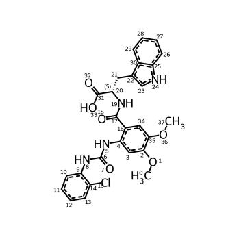 COc1cc(NC(=O)Nc2ccccc2Cl)c(C(=O)N[C@@H](Cc2c[nH]c3ccccc23)C(=O)O)cc1OC